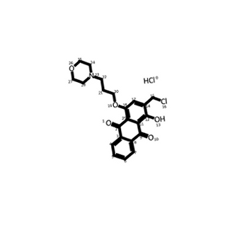 Cl.O=C1c2ccccc2C(=O)c2c(O)c(CCl)cc(OCCCN3CCOCC3)c21